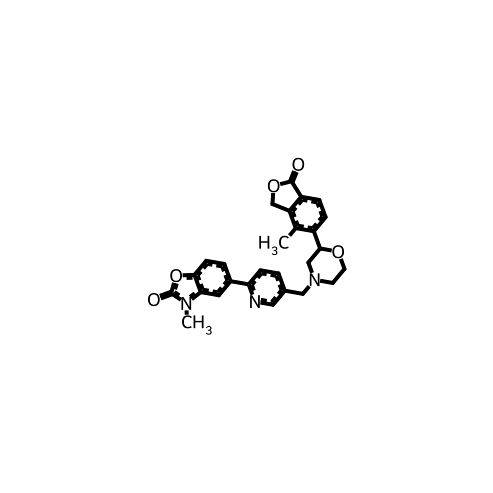 Cc1c(C2CN(Cc3ccc(-c4ccc5oc(=O)n(C)c5c4)nc3)CCO2)ccc2c1COC2=O